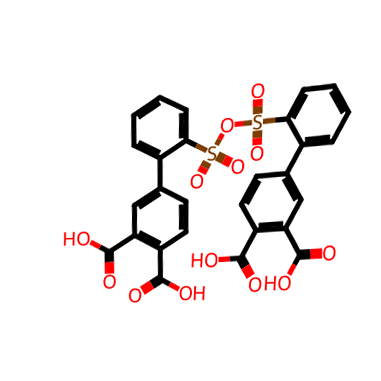 O=C(O)c1ccc(-c2ccccc2S(=O)(=O)OS(=O)(=O)c2ccccc2-c2ccc(C(=O)O)c(C(=O)O)c2)cc1C(=O)O